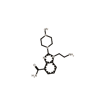 CCCN1CCN(c2nc3c(C(N)=O)cccc3n2CCN)CC1